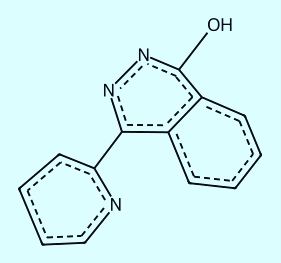 Oc1nnc(-c2ccccn2)c2ccccc12